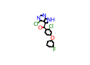 O=C(c1ccc(Oc2cccc(F)c2)cc1Cl)c1c[nH]c2ncnc(Cl)c12